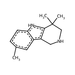 Cc1ccc2[nH]c3c(c2c1)CNCC3(C)C